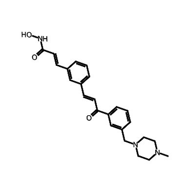 CN1CCN(Cc2cccc(C(=O)C=Cc3cccc(C=CC(=O)NO)c3)c2)CC1